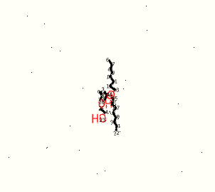 C=CC.C=CC.CCCCCCCCOCCCCCCCC.OCCO